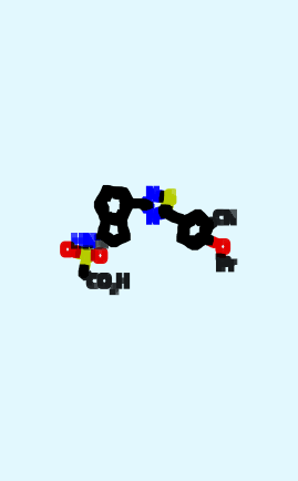 CC(C)Oc1ccc(-c2nc(-c3cccc4c3CC[C@@H]4NS(=O)(=O)CC(=O)O)ns2)cc1C#N